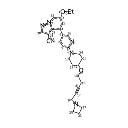 CCOc1cc(-c2ccc(N3CCC(OCCC#CCN4CCC4)CC3)nc2)c2c(C#N)cnn2c1